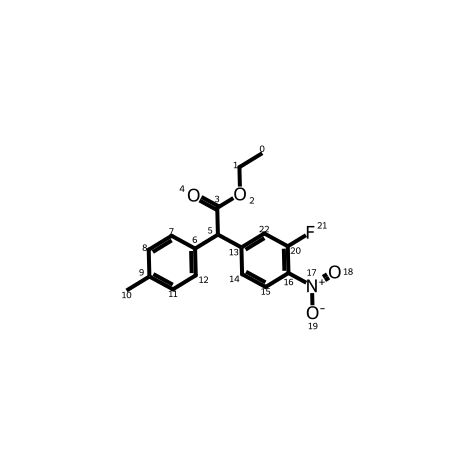 CCOC(=O)C(c1ccc(C)cc1)c1ccc([N+](=O)[O-])c(F)c1